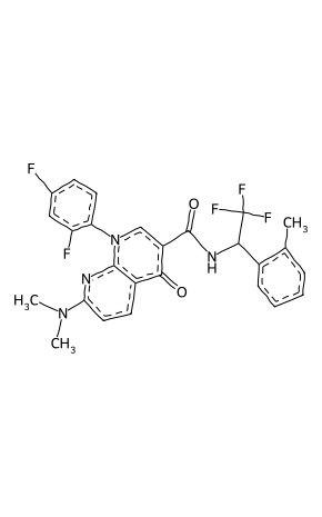 Cc1ccccc1C(NC(=O)c1cn(-c2ccc(F)cc2F)c2nc(N(C)C)ccc2c1=O)C(F)(F)F